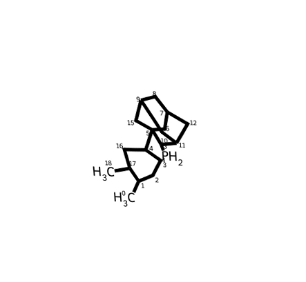 CC1CCC(C23CC4CC(CC(C4)C2P)C3)CC1C